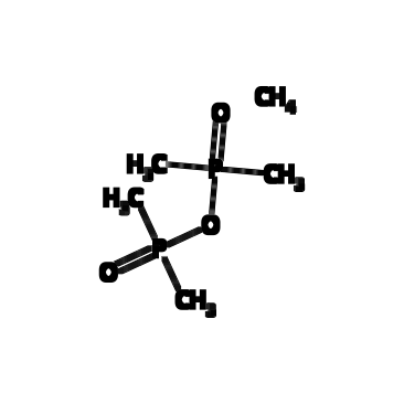 C.CP(C)(=O)OP(C)(C)=O